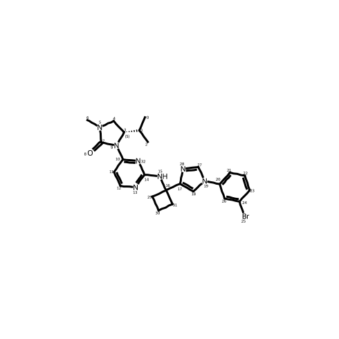 CC(C)[C@H]1CN(C)C(=O)N1c1ccnc(NC2(c3cn(-c4cccc(Br)c4)cn3)CCC2)n1